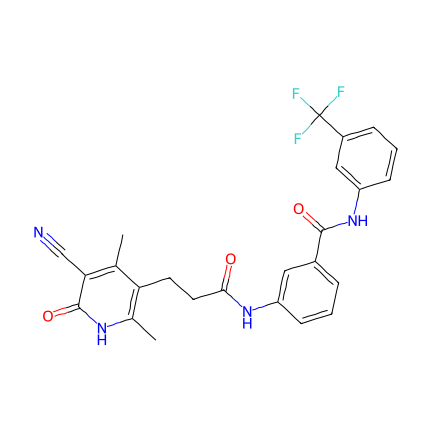 Cc1[nH]c(=O)c(C#N)c(C)c1CCC(=O)Nc1cccc(C(=O)Nc2cccc(C(F)(F)F)c2)c1